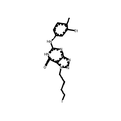 CCc1cc(Nc2nc3nnn(CCCCI)c3c(=O)[nH]2)ccc1C